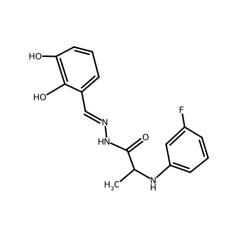 CC(Nc1cccc(F)c1)C(=O)NN=Cc1cccc(O)c1O